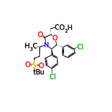 C[C@@H](CCS(=O)(=O)C(C)(C)C)N1C(=O)[C@H](CC(=O)O)O[C@H](c2cccc(Cl)c2)[C@H]1c1ccc(Cl)cc1